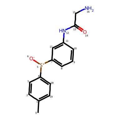 Cc1ccc([S+]([O-])c2cccc(NC(=O)CN)c2)cc1